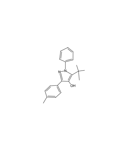 Cc1ccc(-c2nn(-c3ccccc3)c(C(C)(C)C)c2O)cc1